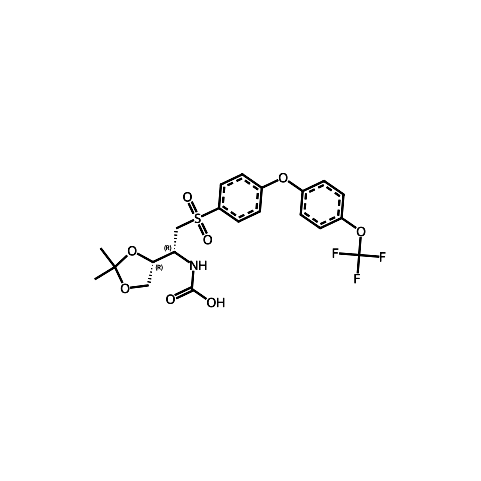 CC1(C)OC[C@@H]([C@H](CS(=O)(=O)c2ccc(Oc3ccc(OC(F)(F)F)cc3)cc2)NC(=O)O)O1